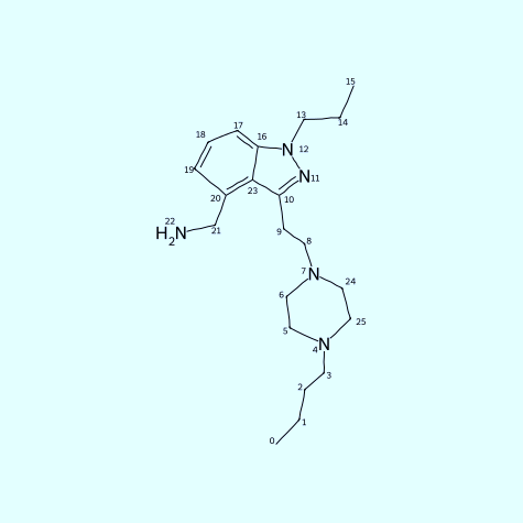 CCCCN1CCN(CCc2nn(CCC)c3cccc(CN)c23)CC1